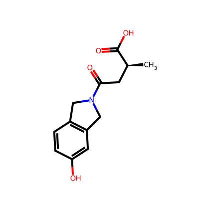 C[C@@H](CC(=O)N1Cc2ccc(O)cc2C1)C(=O)O